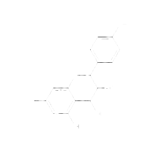 Oc1ccc(C2Oc3cc(O)cc(O)c3C(O)C2O)cc1